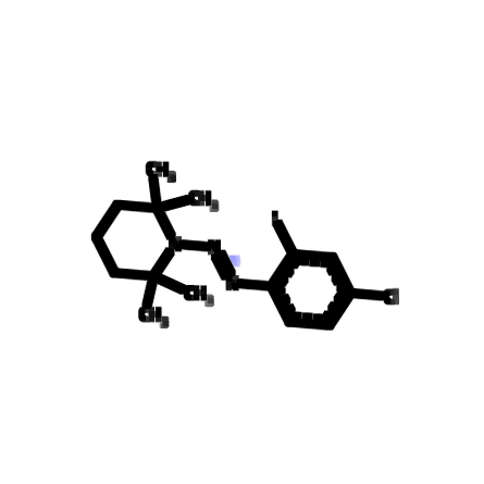 CC1(C)CCCC(C)(C)N1/N=N/c1ccc(Cl)cc1I